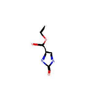 CCOC(=O)C1=NC(=O)N=[C]1